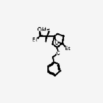 CCC(OC)C(C)(C)C12CCC(CC)(O1)C(OCc1ccccc1)C2